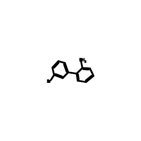 Bc1ccccc1-c1cccc(Br)c1